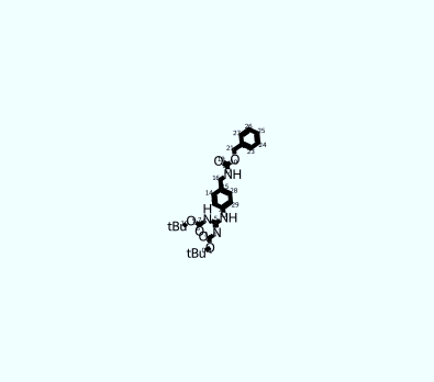 CC(C)(C)OC(=O)/N=C(\NC(=O)OC(C)(C)C)Nc1ccc(CNC(=O)OCc2ccccc2)cc1